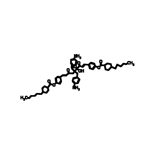 CCCCCCC1CCC(C(=O)Oc2ccc(/C=C/C(=O)CC(Cc3ccc(N)cc3)(Cc3ccc(N)cc3)C(O)(O)C(=O)/C=C/c3ccc(OC(=O)C4CCC(CCCCCC)CC4)cc3)cc2)CC1